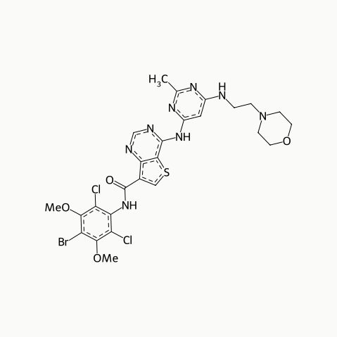 COc1c(Cl)c(NC(=O)c2csc3c(Nc4cc(NCCN5CCOCC5)nc(C)n4)ncnc23)c(Cl)c(OC)c1Br